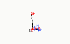 CCOP(=O)(CC(O)CNCC1CNc2c1nc[nH]c2=O)OCCCCCCCCCCCCCCCCCCCCCO